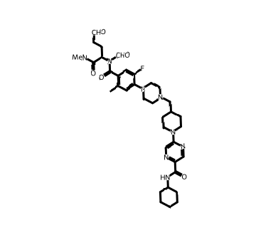 CNC(=O)C(CCC=O)N(C=O)C(=O)c1cc(F)c(N2CCN(CC3CCN(c4cnc(C(=O)NC5CCCCC5)cn4)CC3)CC2)cc1C